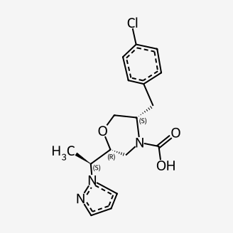 C[C@@H]([C@H]1CN(C(=O)O)[C@@H](Cc2ccc(Cl)cc2)CO1)n1cccn1